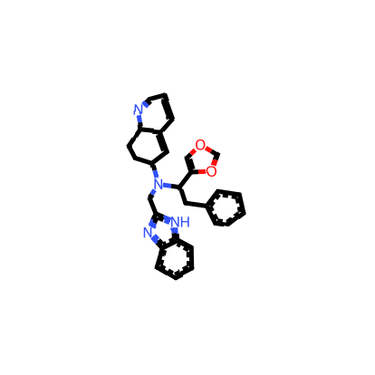 C1=CC2=CC(N(Cc3nc4ccccc4[nH]3)C(Cc3ccccc3)C3=COCO3)CCC2N=C1